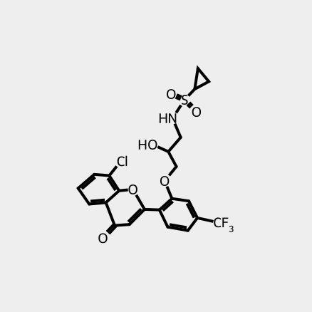 O=c1cc(-c2ccc(C(F)(F)F)cc2OCC(O)CNS(=O)(=O)C2CC2)oc2c(Cl)cccc12